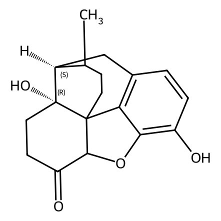 CC1CCC23c4c5ccc(O)c4OC2C(=O)CC[C@@]3(O)[C@H]1C5